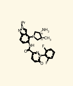 CC(C)n1cc2c(N3C[C@H](C)[C@@H](N)C3)c(NC(=O)c3ccc(=O)n(-c4c(F)cccc4F)n3)ccc2n1